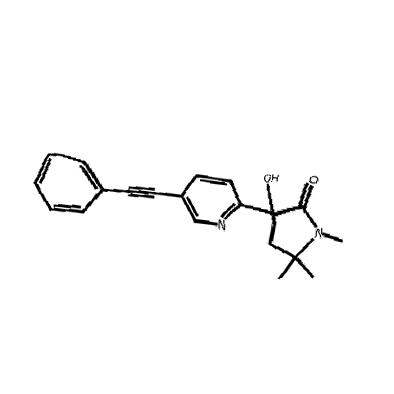 CN1C(=O)C(O)(c2ccc(C#Cc3ccccc3)cn2)CC1(C)C